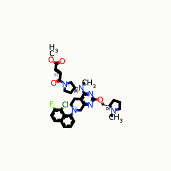 COC(=O)/C=C/C(=O)N1CC[C@@H](N(C)c2nc(OC[C@@H]3CCCN3C)nc3c2CCN(c2cccc4ccc(F)c(Cl)c24)C3)C1